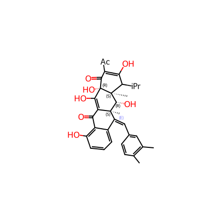 CC(=O)C1=C(O)C(C(C)C)[C@@]2(C)[C@H](O)[C@]3(C)C(=C(O)[C@@]2(O)C1=O)C(=O)c1c(O)cccc1/C3=C\c1ccc(C)c(C)c1